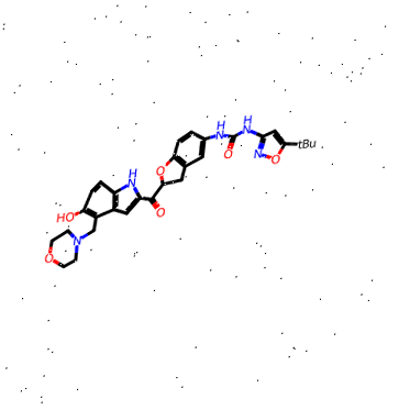 CC(C)(C)c1cc(NC(=O)Nc2ccc3c(c2)CC(C(=O)c2cc4c(CN5CCOCC5)c(O)ccc4[nH]2)O3)no1